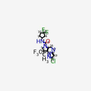 CC1(C(F)(F)F)CN(C(=O)N[C@@H]2CCC(F)(F)C2)c2cnc3cc(Cl)nn3c21